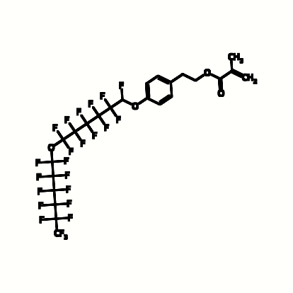 C=C(C)C(=O)OCCc1ccc(OC(F)C(F)(F)C(F)(F)C(F)(F)C(F)(F)C(F)(F)OC(F)(F)C(F)(F)C(F)(F)C(F)(F)C(F)(F)C(F)(F)F)cc1